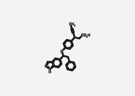 CC#CC(CC(=O)O)c1ccc(OC(Cc2ccccc2)c2ccc3[nH]ncc3c2)cc1